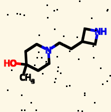 CC1(O)CCN(CCC2CNC2)CC1